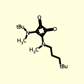 CN(CCCC(C)(C)C)c1c(N(C)C(C)(C)C)c(=O)c1=O